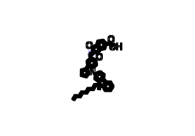 CCCCCCCCC1(C)c2ccccc2-c2ccc(N3c4ccc(/C=C5/C(=O)c6ccc(C(=O)O)cc6C5=O)cc4C4CCCC43)cc21